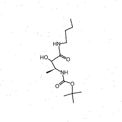 CCCCNC(=O)C(O)[C@H](C)NC(=O)OC(C)(C)C